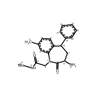 Cc1ccc2c(c1)N(CC(=O)NC(C)(C)C)C(=O)C(N)CC2c1ccccc1